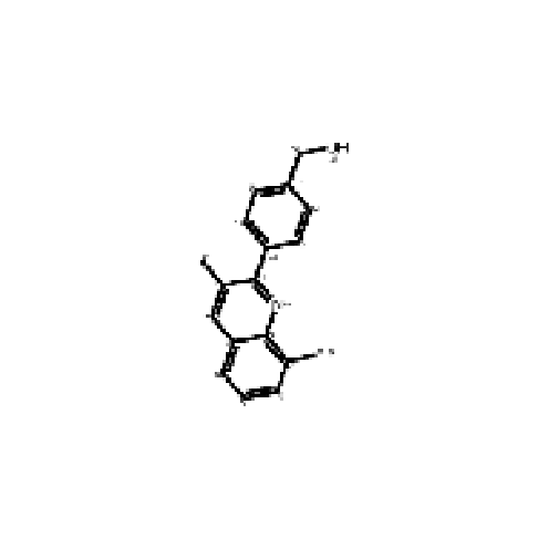 Cc1cc2cccc(F)c2nc1-c1ccc(CO)cc1